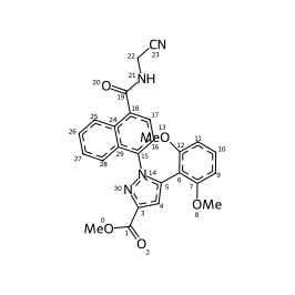 COC(=O)c1cc(-c2c(OC)cccc2OC)n(-c2ccc(C(=O)NCC#N)c3ccccc23)n1